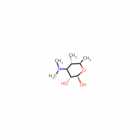 C[C@H]1O[C@@H](O)[C@H](O)C(N(C)C)[C@@H]1C